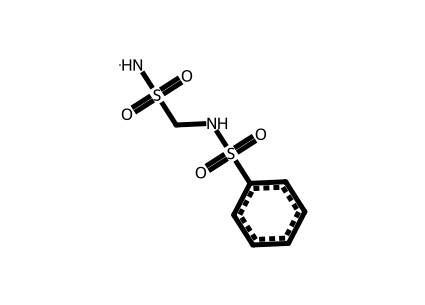 [NH]S(=O)(=O)CNS(=O)(=O)c1ccccc1